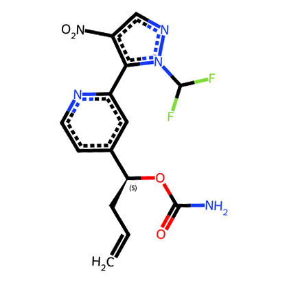 C=CC[C@H](OC(N)=O)c1ccnc(-c2c([N+](=O)[O-])cnn2C(F)F)c1